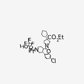 CCOC(=O)C1(C2CCCCC2)CCN(C(=O)C2CCN(C(C)C)C[C@@H]2c2ccc(Cl)cc2)CC1.O=C(O)C(F)(F)F